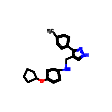 FC(F)(F)c1ccc(-c2n[nH]cc2CNc2ccc(OC3CCCC3)cc2)cc1